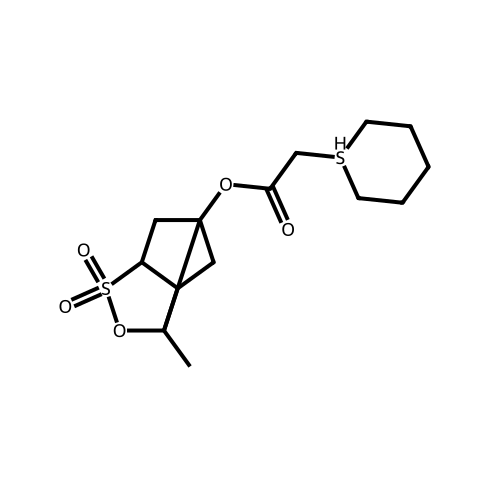 CC12OS(=O)(=O)C3CC1(OC(=O)C[SH]1CCCCC1)CC32